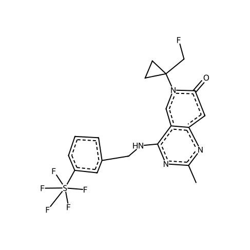 Cc1nc(NCc2cccc(S(F)(F)(F)(F)F)c2)c2cn(C3(CF)CC3)c(=O)cc2n1